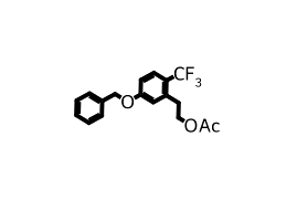 CC(=O)OCCc1cc(OCc2ccccc2)ccc1C(F)(F)F